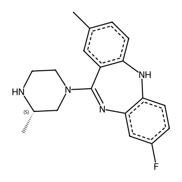 Cc1ccc2c(c1)C(N1CCN[C@@H](C)C1)=Nc1cc(F)ccc1N2